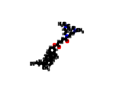 CC(C)CCC[C@@H](C)[C@H]1CC[C@H]2[C@@H]3CC=C4C[C@@H](OC(=O)CCCC(=O)N(CCCN(C)C)CCCN(C)C)CC[C@]4(C)[C@H]3CC[C@]12C